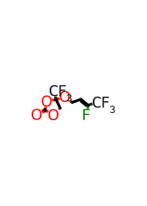 O=C1OCC(OCC=C(F)C(F)(F)F)(C(F)(F)F)O1